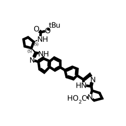 CC(C)(C)OC(=O)N[C@H]1CCC[C@@H]1c1nc2ccc3cc(-c4ccc(-c5cnc(C6CCCN6C(=O)O)[nH]5)cc4)ccc3c2[nH]1